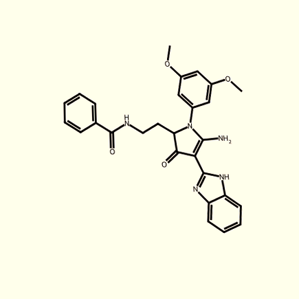 COc1cc(OC)cc(N2C(N)=C(c3nc4ccccc4[nH]3)C(=O)C2CCNC(=O)c2ccccc2)c1